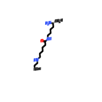 CCCCCCCCCCCCNCCCCCC(=O)NCCCC[C@H](N)C(=O)O